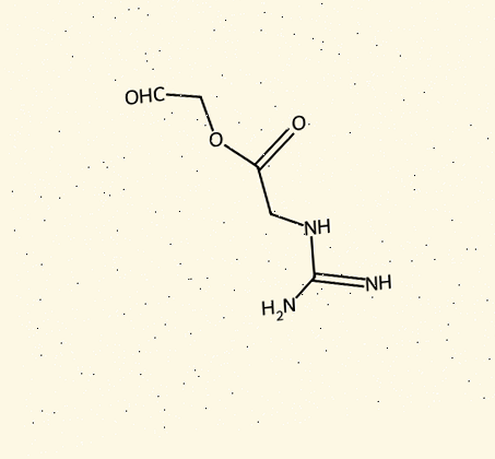 N=C(N)NCC(=O)OCC=O